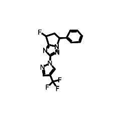 FC1CC(c2ccccc2)n2nc(-n3cc(C(F)(F)F)cn3)nc21